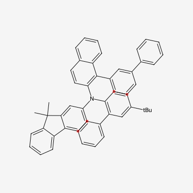 CC(C)(C)c1ccc(N(c2ccc3c(c2)C(C)(C)c2ccccc2-3)c2ccc3ccccc3c2-c2cccc(-c3ccccc3)c2)c(-c2ccccc2)c1